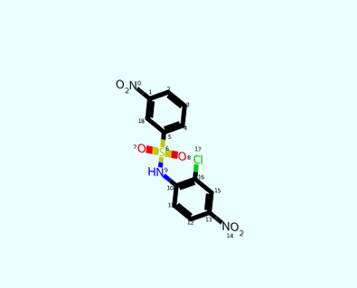 O=[N+]([O-])c1cccc(S(=O)(=O)Nc2ccc([N+](=O)[O-])cc2Cl)c1